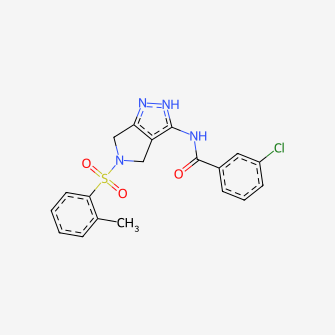 Cc1ccccc1S(=O)(=O)N1Cc2n[nH]c(NC(=O)c3cccc(Cl)c3)c2C1